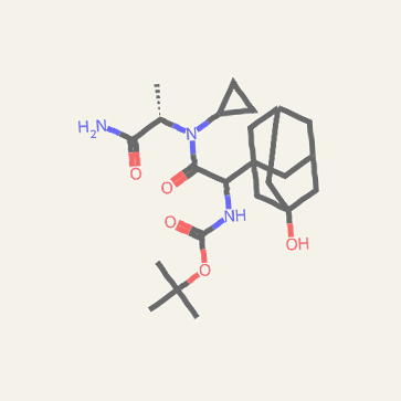 C[C@@H](C(N)=O)N(C(=O)C(NC(=O)OC(C)(C)C)C12CC3CC(CC(O)(C3)C1)C2)C1CC1